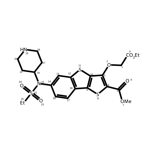 CCOC(=O)COc1c(C(=O)OC)sc2c1sc1cc(N(C3CCNCC3)S(=O)(=O)CC)ccc12